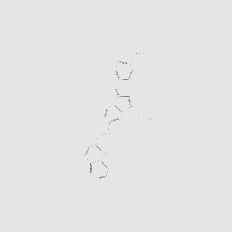 CSc1ccc(C=C2C(C)=C(CC(=O)O)c3cc(OCc4ccc5ccccc5n4)ccc32)cc1